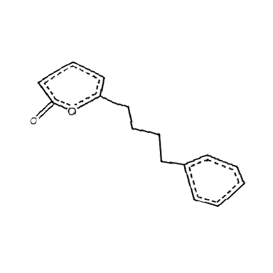 O=c1cccc(CCCCc2ccccc2)o1